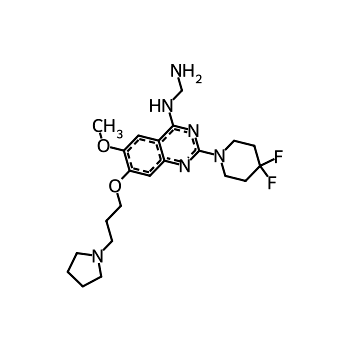 COc1cc2c(NCN)nc(N3CCC(F)(F)CC3)nc2cc1OCCCN1CCCC1